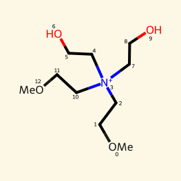 COCC[N+](CCO)(CCO)CCOC